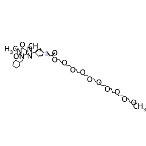 COCCOCCOCCOCCOCCOCCOCCOCCOCCOC(=O)/C=C/c1ccc(-c2nc3c(c(=O)n(C)c(=O)n3CC3CCCCC3)n2C)cc1